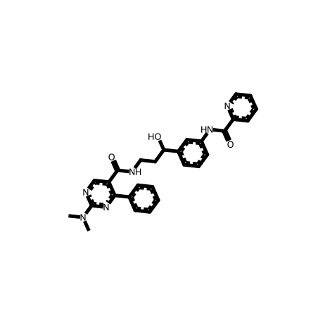 CN(C)c1ncc(C(=O)NCCC(O)c2cccc(NC(=O)c3ccccn3)c2)c(-c2ccccc2)n1